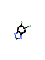 Clc1cc2c(cc1Cl)=NCN=2